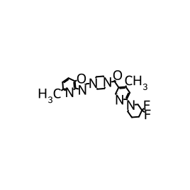 Cc1ccc2oc(N3CCN(C(=O)c4cnc(N5CCCC(F)(F)C5)cc4C)CC3)nc2n1